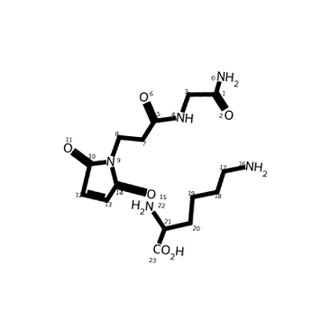 NC(=O)CNC(=O)CCN1C(=O)C=CC1=O.NCCCCC(N)C(=O)O